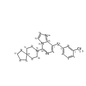 FC(F)(F)c1cccc(Sc2cnc(N3CCC4(CCCC4)CC3)n3ccnc23)c1